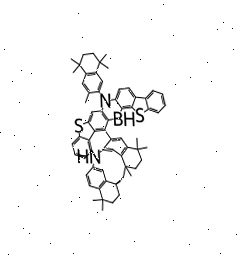 Cc1cc2c(cc1N1c3cc4sc5ccccc5c4c(-c4cc5c6cc4Nc4ccc7c(c4)C(C)(CCC7(C)C)CC6(C)CCC5(C)C)c3Bc3c1ccc1c3sc3ccccc31)C(C)(C)CCC2(C)C